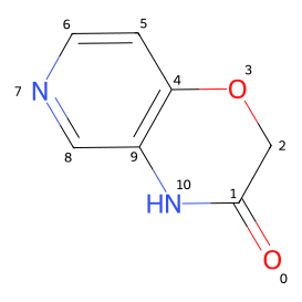 O=C1COc2ccncc2N1